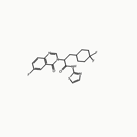 O=C(Nc1nccs1)C(CC1CCC(F)(F)CC1)n1cnc2ccc(F)cc2c1=O